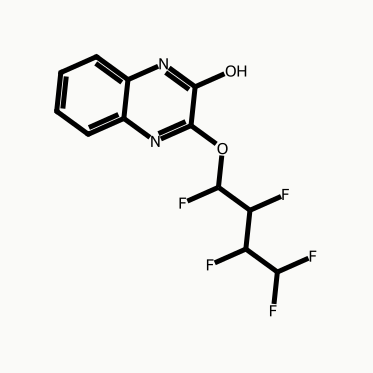 Oc1nc2ccccc2nc1OC(F)C(F)C(F)C(F)F